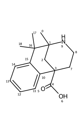 CC12CC(C(=O)O)(CCN1)c1ccccc1C2(C)C